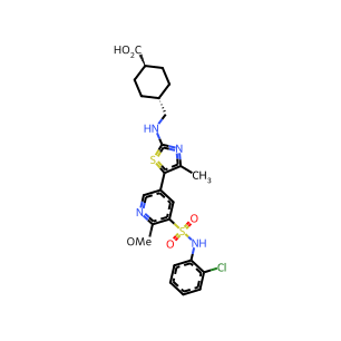 COc1ncc(-c2sc(NC[C@H]3CC[C@H](C(=O)O)CC3)nc2C)cc1S(=O)(=O)Nc1ccccc1Cl